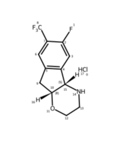 Cl.Fc1cc2c(cc1C(F)(F)F)C[C@H]1OCCN[C@@H]21